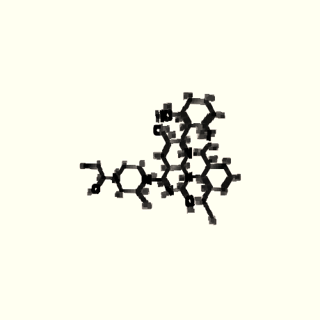 C=CC(=O)N1CCN(c2nc(=O)n(-c3c(CC)cccc3CC)c3nc(-c4c(O)cccc4F)c(Cl)cc23)C(C)C1